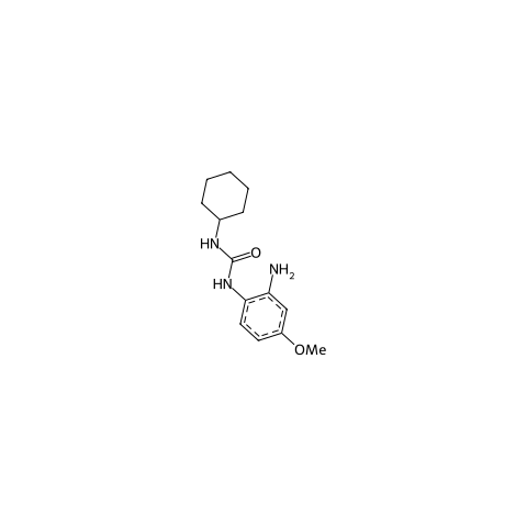 COc1ccc(NC(=O)NC2CCCCC2)c(N)c1